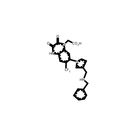 O=C(O)Cn1c(=O)c(=O)[nH]c2cc(C(F)(F)F)c(-n3ccc(CNCc4ccccc4)c3)cc21